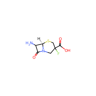 NC1C(=O)N2CC(F)(C(=O)O)CS[C@H]12